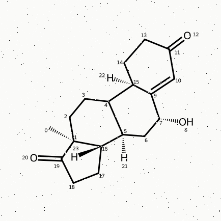 C[C@]12CCC3[C@@H](C[C@@H](O)C4=CC(=O)CC[C@@H]43)[C@@H]1CCC2=O